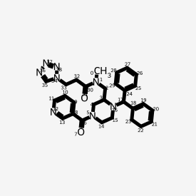 CN(CC1CN(C(=O)c2cccnc2)CCN1C(C1=CC=CCC1)c1ccccc1)C(=O)CCn1cnnn1